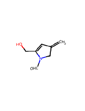 C=C1C=C(CO)N(C=O)C1